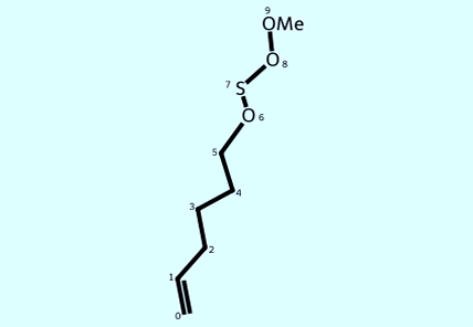 C=CCCCCOSOOC